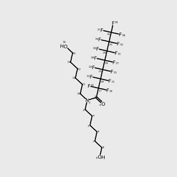 O=C(N(CCCCCCO)CCCCCCO)C(F)(F)C(F)(F)C(F)(F)C(F)(F)C(F)(F)C(F)(F)C(F)(F)F